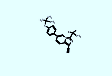 BC(P)(P)Oc1ccc(-c2ccc3c(C#C)nc(C(C)(F)P)n3c2)cc1